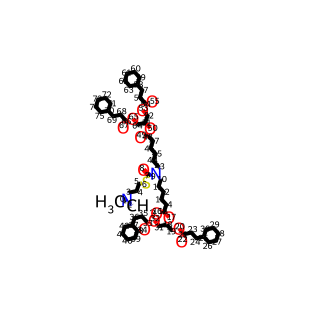 CN(C)CCCSC(=O)N(CCCCCC(=O)OC(COC(=O)CCC1CCCCC1)COC(=O)CCC1CCCCC1)CCCCCC(=O)OC(COC(=O)CCC1CCCCC1)COC(=O)CCC1CCCCC1